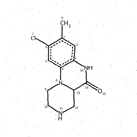 Cc1cc2c(cc1Cl)N1CCNCC1C(=O)N2